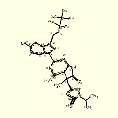 CC(C)n1nc(C2(C)C(=O)Nc3nc(-c4nn(CCC(F)(F)C(F)(F)F)c5cc(Cl)ccc45)nc(N)c32)oc1=S